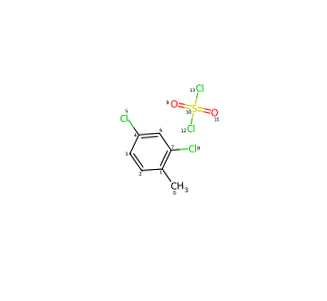 Cc1ccc(Cl)cc1Cl.O=S(=O)(Cl)Cl